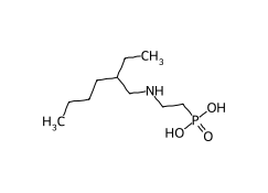 CCCCC(CC)CNCCP(=O)(O)O